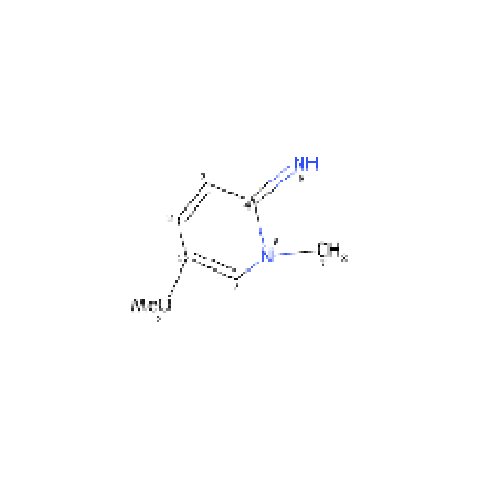 COc1ccc(=N)n(C)c1